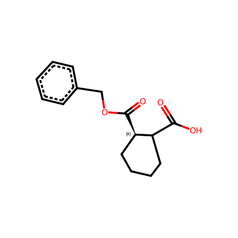 O=C(O)C1CCCC[C@H]1C(=O)OCc1ccccc1